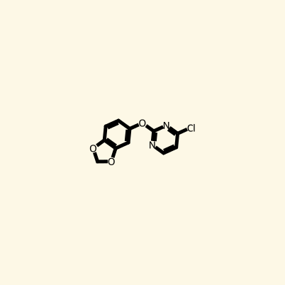 Clc1ccnc(Oc2ccc3c(c2)OCO3)n1